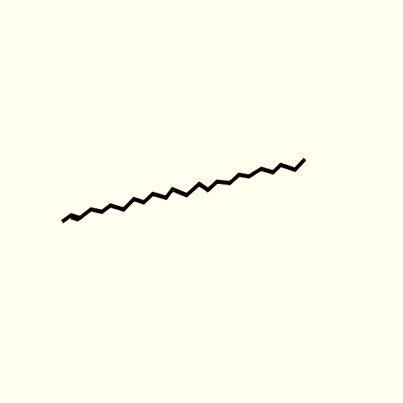 CC=CCCCCCCCCCCCCCCCCCCCCC